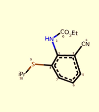 CCOC(=O)Nc1c(C#N)cccc1SC(C)C